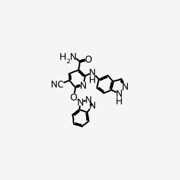 N#Cc1cc(C(N)=O)c(Nc2ccc3[nH]ncc3c2)nc1On1nnc2ccccc21